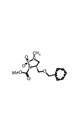 COC(=O)N1[C@H](COCc2ccccc2)CN(C)S1(=O)=O